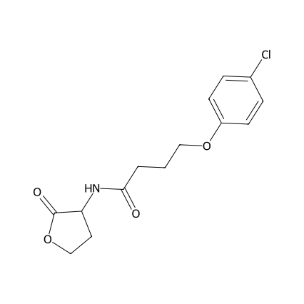 O=C(CCCOc1ccc(Cl)cc1)NC1CCOC1=O